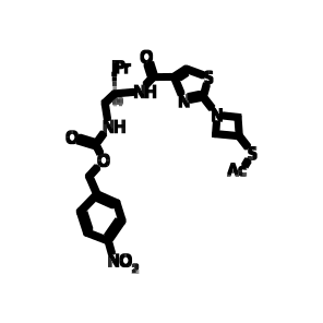 CC(=O)SC1CN(c2nc(C(=O)N[C@H](CNC(=O)OCc3ccc([N+](=O)[O-])cc3)C(C)C)cs2)C1